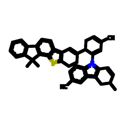 CC1C=Cc2c(c3cc(C#N)ccc3n2C2=CC(C#N)=CCC2C2=Cc3c(sc4c5c(ccc34)-c3ccccc3C5(C)C)CC2)C1